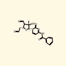 C[C@]1(O)C(C=O)[C@@H](CC=O)O[C@H]1n1ccc(NC(=O)c2ccccc2)nc1=O